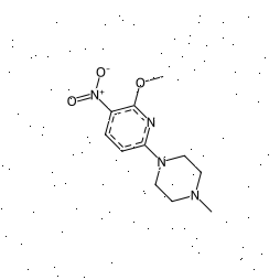 COc1nc(N2CCN(C)CC2)ccc1[N+](=O)[O-]